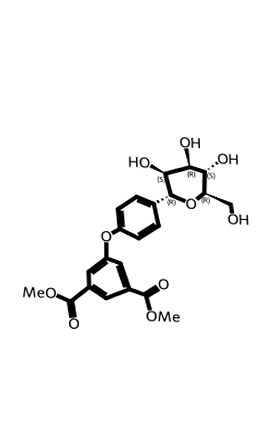 COC(=O)c1cc(Oc2ccc([C@H]3O[C@H](CO)[C@@H](O)[C@H](O)[C@@H]3O)cc2)cc(C(=O)OC)c1